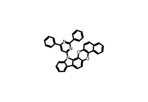 c1ccc(-c2cc(-n3c4ccccc4c4ccc5c(c43)Oc3ccc4ccccc4c3O5)nc(-c3ccccc3)n2)cc1